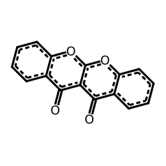 O=c1c2ccccc2oc2oc3ccccc3c(=O)c12